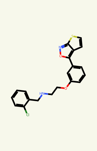 Clc1ccccc1CNCCOc1cccc(-c2onc3sccc23)c1